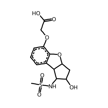 CS(=O)(=O)NC1C(O)CC2Oc3c(OCC(=O)O)cccc3C21